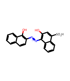 O=S(=O)(O)c1cc(O)c(/N=N/c2ccc3ccccc3c2O)c2ccccc12